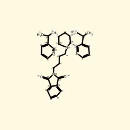 CC(C)c1cccnc1[C@H]1CCC[C@@H](c2ncccc2C(C)C)N1CCCCN1C(=O)c2ccccc2C1=O